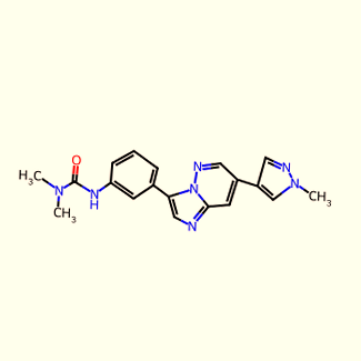 CN(C)C(=O)Nc1cccc(-c2cnc3cc(-c4cnn(C)c4)cnn23)c1